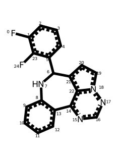 Fc1cccc(C2Nc3ccccc3-c3ncnn4ccc2c34)c1F